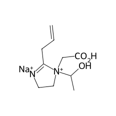 C=CCC1=NCC[N+]1(CC(=O)O)C(C)O.[Na+]